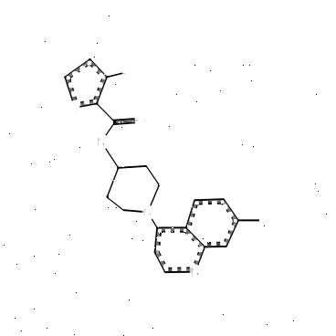 O=C(NC1CCN(c2ccnc3cc(Cl)ccc23)CC1)c1sccc1Cl